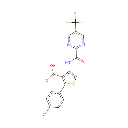 O=C(Nc1csc(-c2ccc(Cl)cc2)c1C(=O)O)c1ncc(C(F)(F)F)cn1